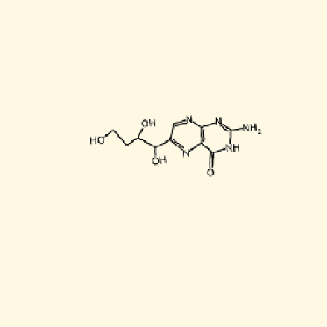 Nc1nc2ncc(C(O)C(O)CCO)nc2c(=O)[nH]1